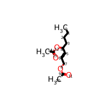 CCCCC(C=CCOC(C)=O)OC(C)=O